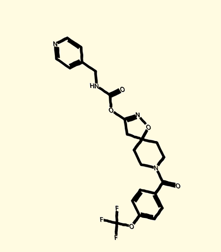 O=C(NCc1ccncc1)OC1=NOC2(CCN(C(=O)c3ccc(OC(F)(F)F)cc3)CC2)C1